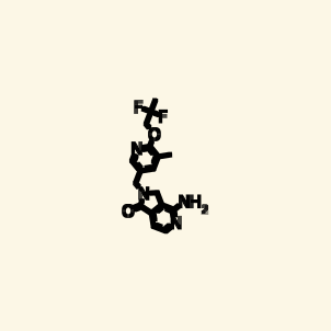 Cc1cc(CN2Cc3c(ccnc3N)C2=O)cnc1OCC(C)(F)F